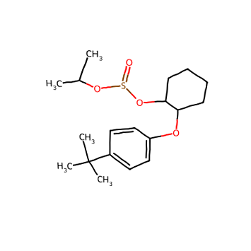 CC(C)OS(=O)OC1CCCCC1Oc1ccc(C(C)(C)C)cc1